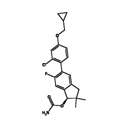 CC1(C)Cc2cc(-c3ccc(OCC4CC4)cc3Cl)c(F)cc2[C@@H]1OC(N)=O